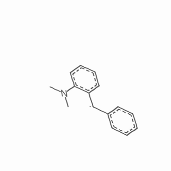 CN(C)c1ccccc1[CH]c1ccccc1